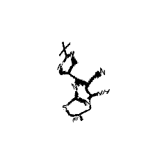 C[C@H]1CSc2nc(-c3cnc(C(C)(C)C)nc3)c(C#N)c(=N)n2C1